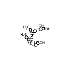 Cc1ccc(CC2(OC(=O)/C=C/C(=O)OC3(Cc4ccc(C)cc4)CCN(CC4CCc5cc(O)ccc5C4O)CC3)CCN(CC3CCc4cc(O)ccc4C3O)CC2)cc1